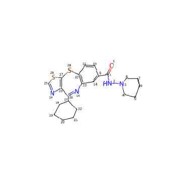 O=C(NN1CCCCC1)c1ccc2c(c1)N=C(C1CCCCC1)c1ncsc1S2